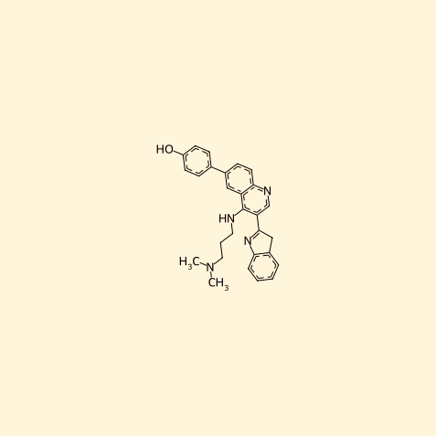 CN(C)CCCNc1c(C2=Nc3ccccc3C2)cnc2ccc(-c3ccc(O)cc3)cc12